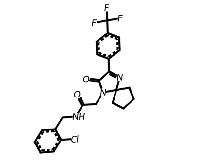 O=C(CN1C(=O)C(c2ccc(C(F)(F)F)cc2)=NC12CCCC2)NCc1ccccc1Cl